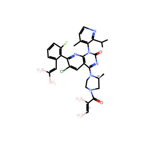 B/C=C(\B)C(=O)N1CCN(c2nc(=O)n(-c3c(C)ccnc3C(C)C)c3nc(-c4c(F)cccc4C=C(B)B)c(Cl)cc23)[C@@H](C)C1